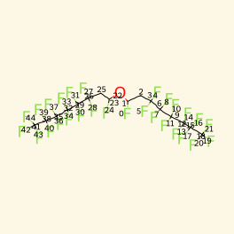 FC(CC(F)(F)C(F)(F)C(F)(F)C(F)(F)C(F)(F)C(F)(F)F)OC(F)CC(F)(F)C(F)(F)C(F)(F)C(F)(F)C(F)(F)C(F)(F)F